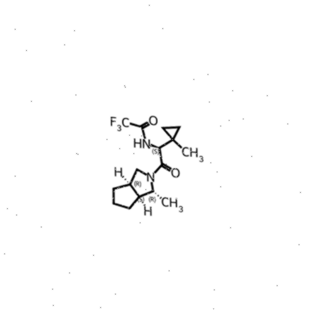 C[C@@H]1[C@H]2CCC[C@H]2CN1C(=O)[C@@H](NC(=O)C(F)(F)F)C1(C)CC1